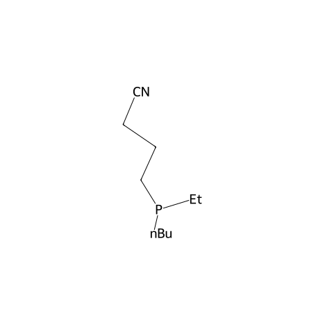 CCCCP(CC)CCCC#N